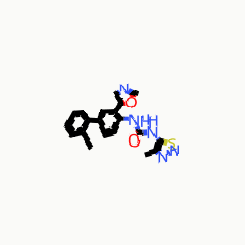 Cc1ccccc1-c1ccc(NC(=O)Nc2snnc2C)c(-c2cnco2)c1